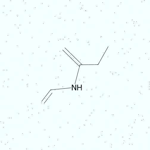 C=CNC(=C)CC